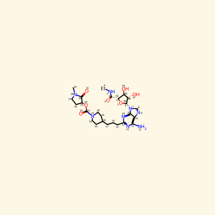 CCNC(=O)[C@H]1O[C@@H](n2cnc3c(N)nc(CCCC4CCN(C(=O)OC5CCN(C)C5=O)CC4)nc32)[C@@H](O)C1O